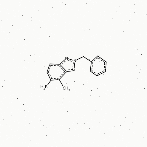 Bc1ccc2nn(Cc3ccccc3)cc2c1C